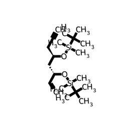 C#CC[C@H](C[C@@H](C=C)O[Si](C)(C)C(C)(C)C)O[Si](C)(C)C(C)(C)C